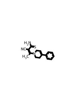 C/C(=C(\C#N)C(N)=S)N1CC=C(c2ccccc2)CC1